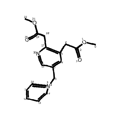 COC(=O)Cc1cc(C[n+]2ccccc2)cnc1CC(=O)OC